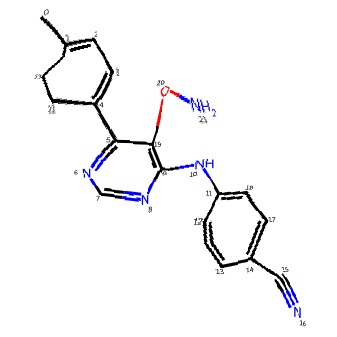 CC1=CC=C(c2ncnc(Nc3ccc(C#N)cc3)c2ON)CC1